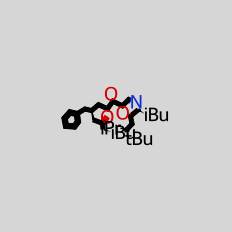 CC[C@@H](C)CC(=O)C[C@H](CCC(=O)C/C=N\C(C(=O)C[C@@H](C(C)C)C(C)(C)C)[C@@H](C)CC)Cc1ccccc1